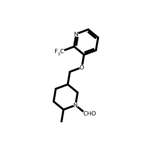 CC1CCC(COc2cccnc2C(F)(F)F)CN1C=O